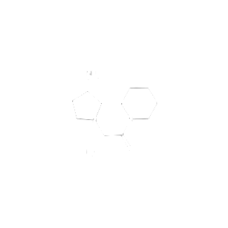 C[C@@H](C(=O)N1CCCCC1)N1CC[C@H](N)C1